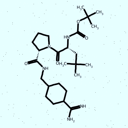 CC(C)(C)C[C@@H](NC(=O)OC(C)(C)C)C(=O)N1CCC[C@H]1C(=O)NCC1CCC(C(=N)N)CC1